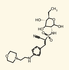 CC[C@H]1OC(O)[C@H](NS(=O)(=O)/C(C#N)=C/c2ccc(NCCN3CCOCC3)cc2)[C@@H](O)[C@@H]1O